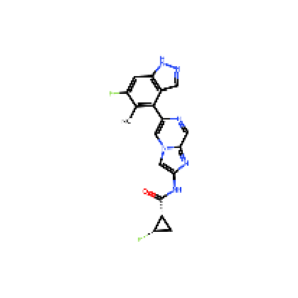 N#Cc1c(F)cc2[nH]ncc2c1-c1cn2cc(NC(=O)[C@@H]3C[C@@H]3F)nc2cn1